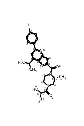 CC(C)c1cc(-c2ccc(F)cc2)nc2cc(C(=O)N3CCN(C(=O)[C@@H](C)O)C[C@H]3C)oc12